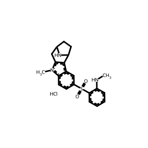 CNc1ccccc1S(=O)(=O)c1ccc2c(c1)c1c(n2C)CC2CCC1N2.Cl